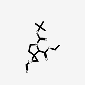 CCOC(=O)C1N(C(=O)OC(C)(C)C)CCC12C[SH]2C=O